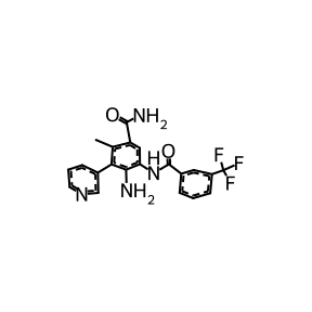 Cc1c(C(N)=O)cc(NC(=O)c2cccc(C(F)(F)F)c2)c(N)c1-c1cccnc1